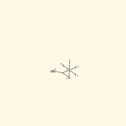 CCCC1SS1(I)(I)(I)I